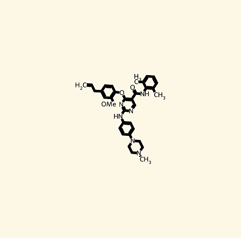 C=CCc1ccc(Oc2nc(Nc3ccc(N4CCN(C)CC4)cc3)ncc2C(=O)Nc2c(C)cccc2C)c(OC)c1